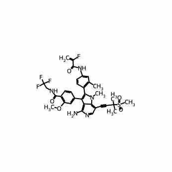 C=C(F)C(=O)Nc1ccc(-c2c(-c3ccc(C(=O)NCC(F)(F)F)c(OC)c3)c3c(N)ncc(C#CC(C)(C)S(C)(=O)=O)c3n2C)c(C)c1